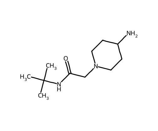 CC(C)(C)NC(=O)CN1CCC(N)CC1